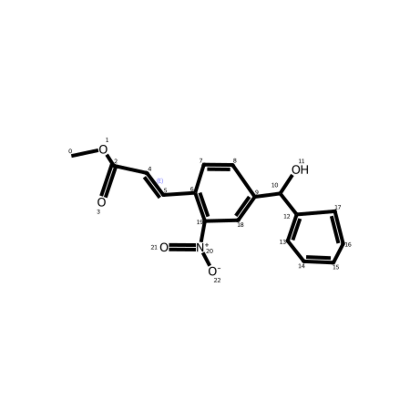 COC(=O)/C=C/c1ccc(C(O)c2ccccc2)cc1[N+](=O)[O-]